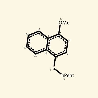 CCCCCSc1ccc(OC)c2ccccc12